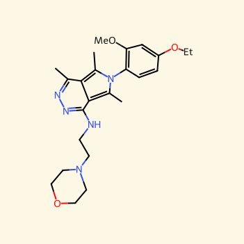 CCOc1ccc(-n2c(C)c3c(C)nnc(NCCN4CCOCC4)c3c2C)c(OC)c1